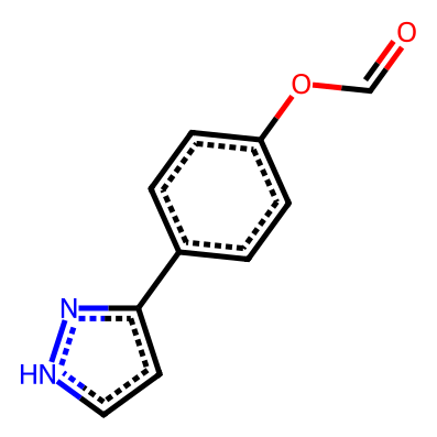 O=COc1ccc(-c2cc[nH]n2)cc1